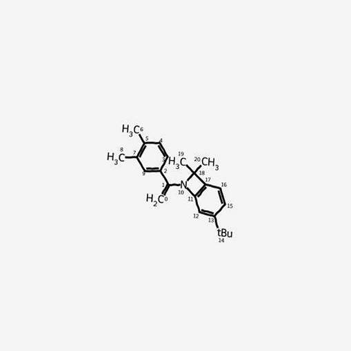 C=C(c1ccc(C)c(C)c1)N1c2cc(C(C)(C)C)ccc2C1(C)C